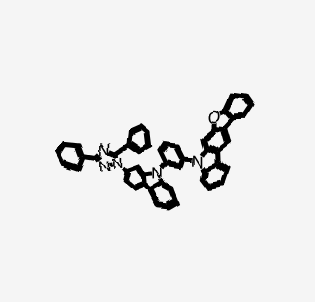 c1ccc(-c2nc(-c3ccccc3)n(-c3ccc4c5ccccc5n(-c5cccc(-n6c7ccccc7c7cc8c(cc76)oc6ccccc68)c5)c4c3)n2)cc1